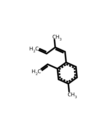 C=C/C(C)=C\c1ccc(C)cc1C=C